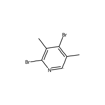 Cc1[c]nc(Br)c(C)c1Br